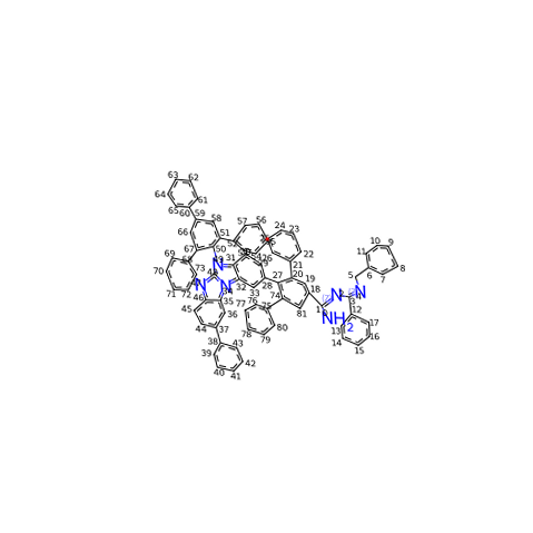 N/C(=N\C(=N/Cc1ccccc1)c1ccccc1)c1cc(-c2ccccc2)c(-c2ccc3c(c2)n2c4cc(-c5ccccc5)ccc4nc2n3-c2c(-c3ccccc3)cc(-c3ccccc3)cc2-c2ccccc2)c(-c2ccccc2)c1